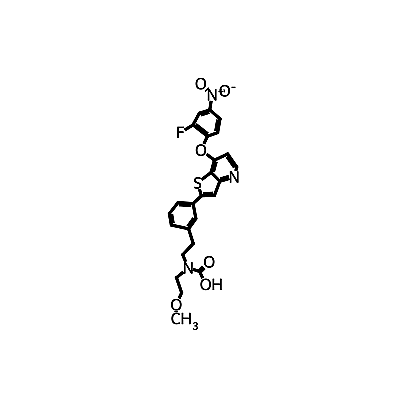 COCCN(CCc1cccc(-c2cc3nccc(Oc4ccc([N+](=O)[O-])cc4F)c3s2)c1)C(=O)O